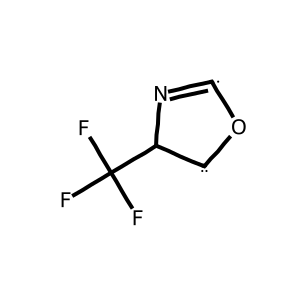 FC(F)(F)C1[C]O[C]=N1